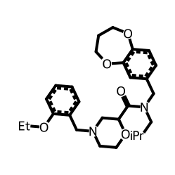 CCOc1ccccc1CN1CCOC(C(=O)N(Cc2ccc3c(c2)OCCCO3)CC(C)C)C1